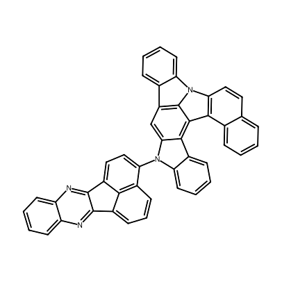 c1ccc2c(c1)ccc1c2c2c3c4ccccc4n(-c4ccc5c6c(cccc46)-c4nc6ccccc6nc4-5)c3cc3c4ccccc4n1c32